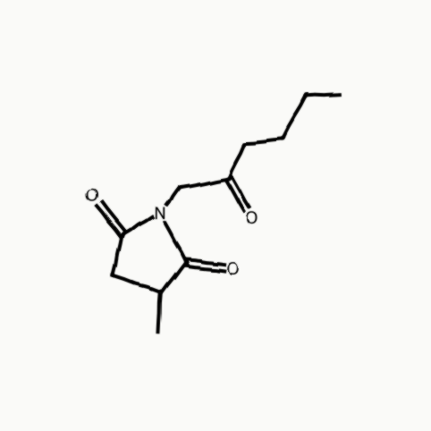 CCCCC(=O)CN1C(=O)CC(C)C1=O